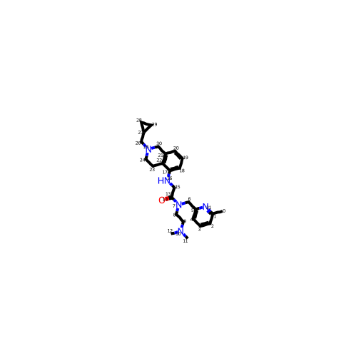 Cc1cccc(CN(CCN(C)C)C(=O)CNc2cccc3c2CCN(CC2CC2)C3)n1